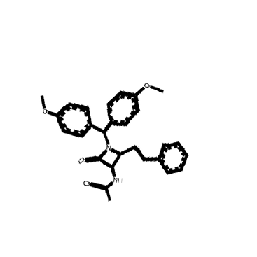 COc1ccc(C(c2ccc(OC)cc2)N2C(=O)C(NC(C)=O)C2CCc2ccccc2)cc1